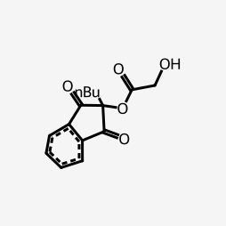 CCCCC1(OC(=O)CO)C(=O)c2ccccc2C1=O